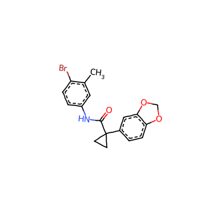 Cc1cc(NC(=O)C2(c3ccc4c(c3)OCO4)CC2)ccc1Br